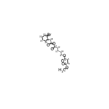 COC(=O)/C=C\C(=O)OCCCCC(=O)OC(=O)Cc1ccccc1Br